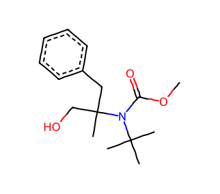 COC(=O)N(C(C)(C)C)C(C)(CO)Cc1ccccc1